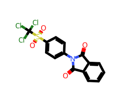 O=C1c2ccccc2C(=O)N1c1ccc(S(=O)(=O)C(Cl)(Cl)Cl)cc1